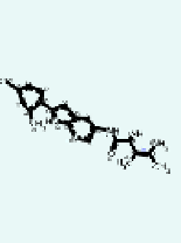 C/C(N)=C(\C)C(=N)C(=O)Nc1cnc2[nH]c(-c3ccc(Cl)cc3C)cc2c1